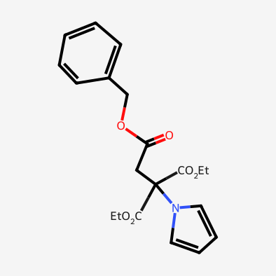 CCOC(=O)C(CC(=O)OCc1ccccc1)(C(=O)OCC)n1cccc1